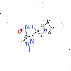 NC(=O)c1c[nH]nc1CCN1CCCC1